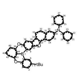 CC(C)(C)c1ccc2c(c1)B1c3cc4oc5c6ccc(N(c7ccccc7)c7ccccc7)cc6ccc5c4cc3Oc3cccc(c31)O2